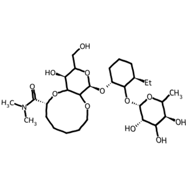 CC[C@@H]1CCC[C@@H](O[C@@H]2OC(CO)[C@H](O)C3O[C@@H](C(=O)N(C)C)CCCCCOC32)C1O[C@@H]1OC(C)[C@@H](O)C(O)[C@@H]1O